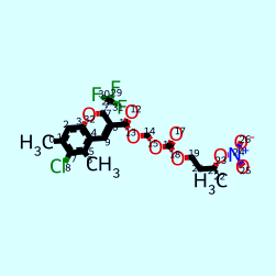 Cc1cc2c(c(C)c1Cl)C=C(C(=O)OCOC(=O)OCC[C@H](C)O[N+](=O)[O-])[C@@H](C(F)(F)F)O2